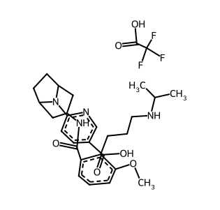 COc1cccc(C(=O)NC2CC3CCC(C2)N3c2ccc(C(=O)O)cn2)c1CCCNC(C)C.O=C(O)C(F)(F)F